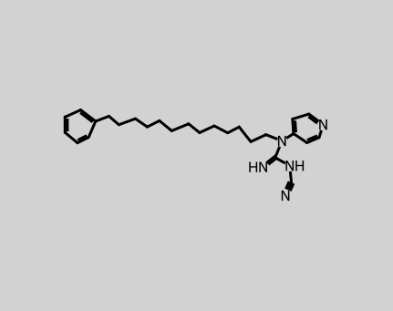 N#CNC(=N)N(CCCCCCCCCCCCCc1ccccc1)c1ccncc1